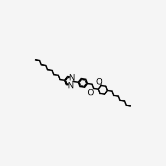 CCCCCCCCCc1cnc(-c2ccc(CC(=O)C3CCC(CCCCCCC)CC3=O)cc2)nc1